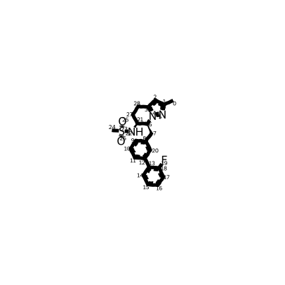 Cc1cc2n(n1)[C@@H](Cc1cccc(-c3ccccc3F)c1)[C@@H](NS(C)(=O)=O)CC2